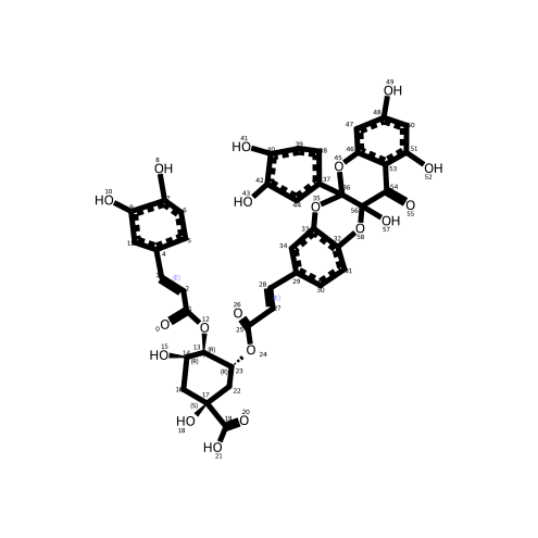 O=C(/C=C/c1ccc(O)c(O)c1)O[C@@H]1[C@H](O)C[C@@](O)(C(=O)O)C[C@H]1OC(=O)/C=C/c1ccc2c(c1)OC1(c3ccc(O)c(O)c3)Oc3cc(O)cc(O)c3C(=O)C1(O)O2